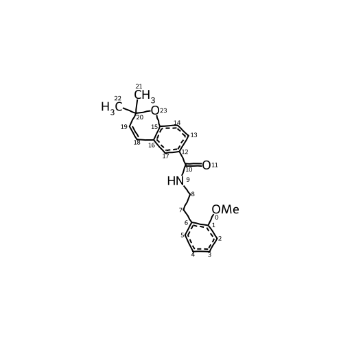 COc1ccccc1CCNC(=O)c1ccc2c(c1)C=CC(C)(C)O2